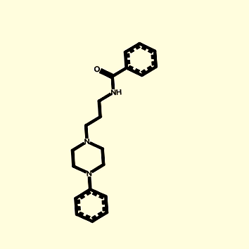 O=C(NCCCN1CCN(c2ccccc2)CC1)c1ccccc1